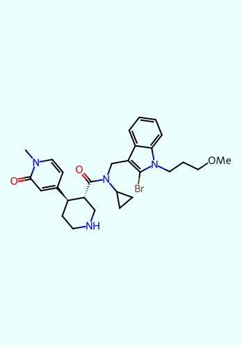 COCCCn1c(Br)c(CN(C(=O)[C@@H]2CNCC[C@H]2c2ccn(C)c(=O)c2)C2CC2)c2ccccc21